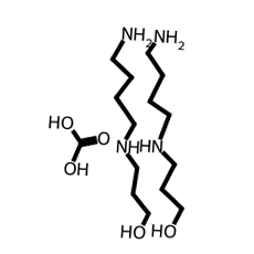 NCCCCNCCCO.NCCCCNCCCO.O=C(O)O